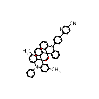 Cc1ccc2c(c1)C1(c3cc(C)ccc3N2c2ccccc2)c2ccccc2C2(c3ccccc3N(c3ccc(-c4ccc(C#N)cn4)cc3)c3ccccc32)c2ccccc21